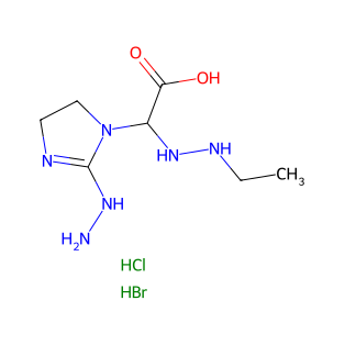 Br.CCNNC(C(=O)O)N1CCN=C1NN.Cl